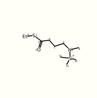 CCSC(=O)CCCN(C)[Si](C)(C)C